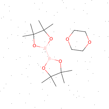 C1COCCO1.CC1(C)OB(B2OC(C)(C)C(C)(C)O2)OC1(C)C